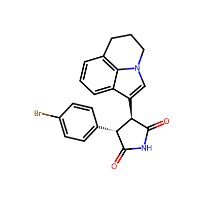 O=C1NC(=O)[C@H](c2cn3c4c(cccc24)CCC3)[C@H]1c1ccc(Br)cc1